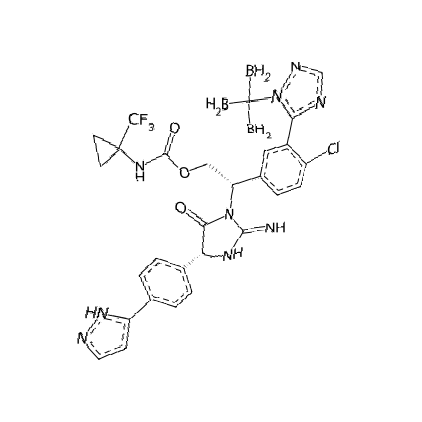 BC(B)(B)n1ncnc1-c1cc([C@@H](COC(=O)NC2(C(F)(F)F)CC2)N2C(=N)N[C@H](c3ccc(-c4ccn[nH]4)cc3)C2=O)ccc1Cl